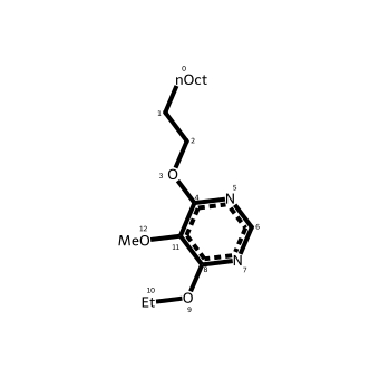 CCCCCCCCCCOc1ncnc(OCC)c1OC